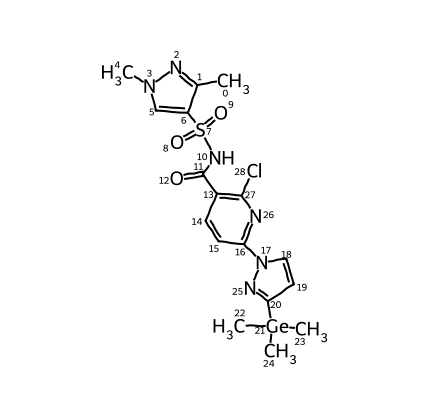 Cc1nn(C)cc1S(=O)(=O)NC(=O)c1ccc(-n2cc[c]([Ge]([CH3])([CH3])[CH3])n2)nc1Cl